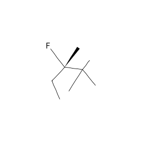 CC[C@](C)(F)C(C)(C)C